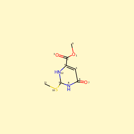 COC(=O)C1=CC(=O)NC(SC)N1